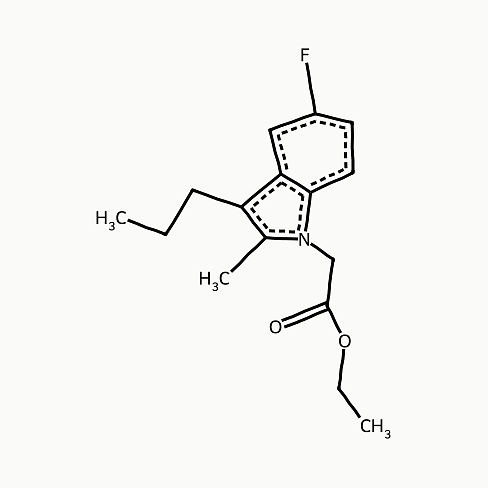 CCCc1c(C)n(CC(=O)OCC)c2ccc(F)cc12